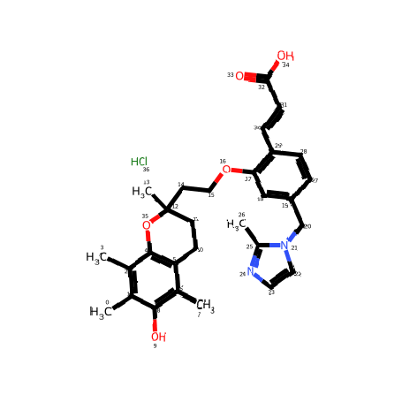 Cc1c(C)c2c(c(C)c1O)CCC(C)(CCOc1cc(Cn3ccnc3C)ccc1/C=C/C(=O)O)O2.Cl